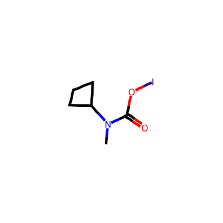 CN(C(=O)OI)C1CCC1